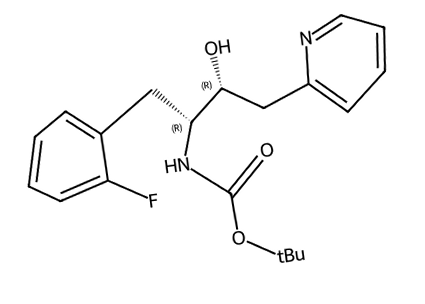 CC(C)(C)OC(=O)N[C@H](Cc1ccccc1F)[C@H](O)Cc1ccccn1